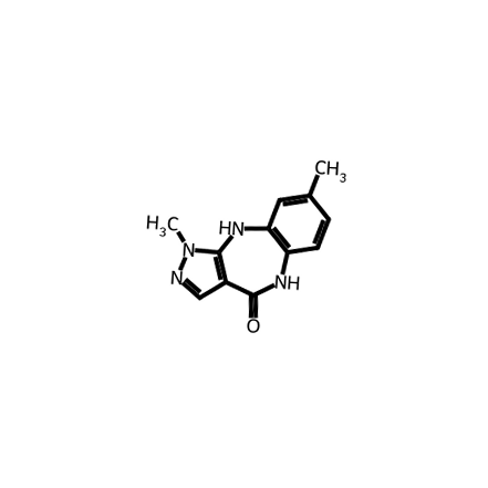 Cc1ccc2c(c1)Nc1c(cnn1C)C(=O)N2